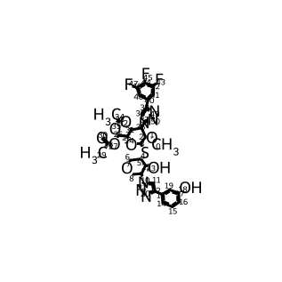 COC1C(SC2COCC(n3cc(-c4cccc(O)c4)nn3)C2O)OC(COC(C)=O)C(OC(C)=O)C1n1cc(-c2cc(F)c(F)c(F)c2)nn1